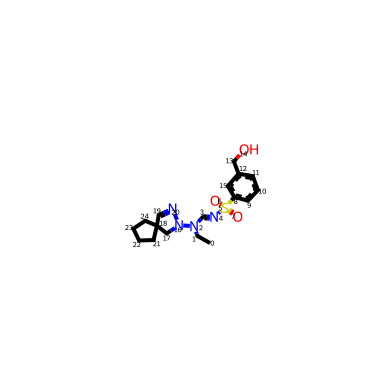 CCN(C=NS(=O)(=O)c1cccc(CO)c1)N1CC2(C=N1)CCCC2